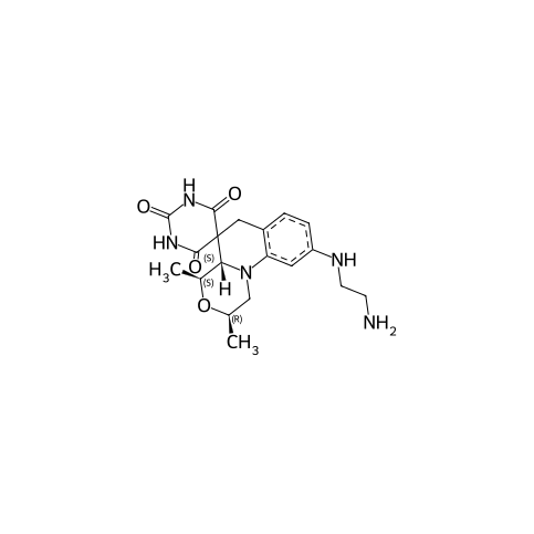 C[C@@H]1CN2c3cc(NCCN)ccc3CC3(C(=O)NC(=O)NC3=O)[C@H]2[C@H](C)O1